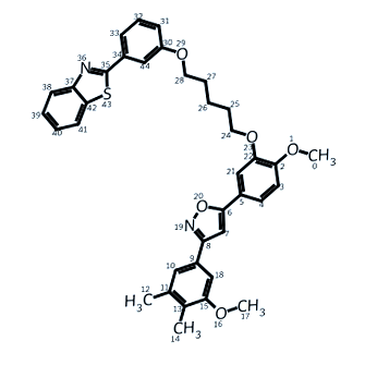 COc1ccc(-c2cc(-c3cc(C)c(C)c(OC)c3)no2)cc1OCCCCCOc1cccc(-c2nc3ccccc3s2)c1